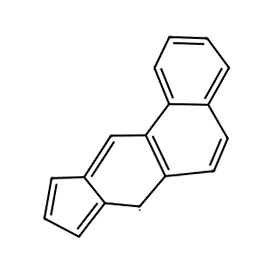 [CH]1C2=CC=CC2=Cc2c1ccc1ccccc21